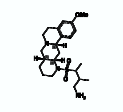 COc1ccc2c(c1)CCN1C[C@H]3CCCN(S(=O)(=O)C(C)C(C)CN)[C@H]3C[C@@H]21